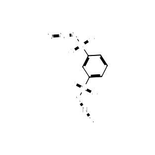 [N-]=[N+]=NS(=O)(=O)c1cccc(S(=O)(=O)N=[N+]=[N-])c1